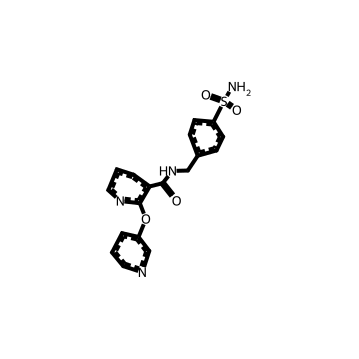 NS(=O)(=O)c1ccc(CNC(=O)c2cccnc2Oc2cccnc2)cc1